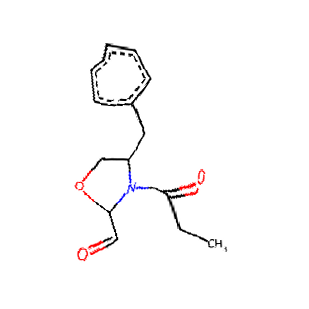 CCC(=O)N1C(Cc2ccccc2)COC1C=O